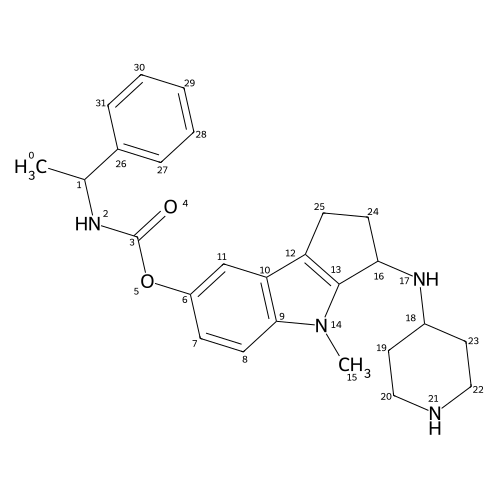 CC(NC(=O)Oc1ccc2c(c1)c1c(n2C)C(NC2CCNCC2)CC1)c1ccccc1